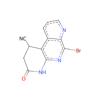 N#CC1CC(=O)Nc2nc(Br)c3ncccc3c21